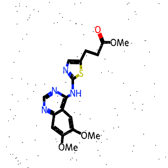 COC(=O)CCc1cnc(Nc2ncnc3cc(OC)c(OC)cc23)s1